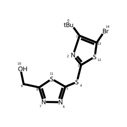 CC(C)(C)c1nc(Sc2nnc(CO)s2)sc1Br